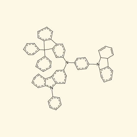 C1=CC2c3ccccc3N(c3ccc(N(c4ccc5c(c4)C(c4ccccc4)(c4ccccc4)c4ccccc4-5)c4ccc5c(c4)c4ccccc4n5-c4ccccc4)cc3)C2C=C1